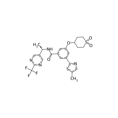 Cc1cnc(-c2cc(OC3CCS(=O)(=O)CC3)cc(C(=O)N[C@H](C)c3cnc(C(F)(F)F)nc3)c2)s1